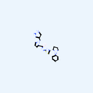 O=C(Nc1nc([C@H]2CCCN2c2ccccc2)cs1)c1cccn1Cc1ccnnc1